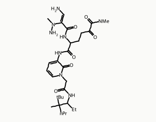 CCCC(C)(C(CC)NC(=O)Cn1cccc(NC(=O)C(CCC(=O)C(=O)NC)NC(=O)/C(=C/N)N(C)N)c1=O)C(C)(C)C